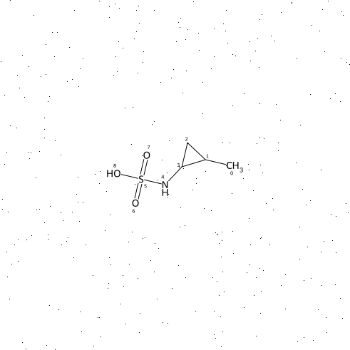 CC1CC1NS(=O)(=O)O